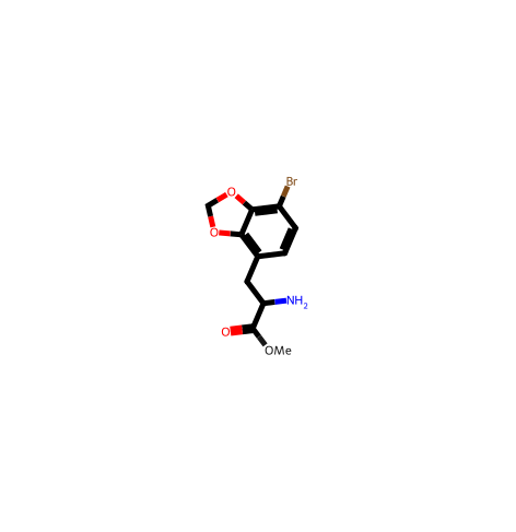 COC(=O)C(N)Cc1ccc(Br)c2c1OCO2